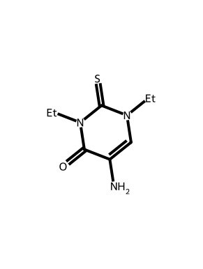 CCn1cc(N)c(=O)n(CC)c1=S